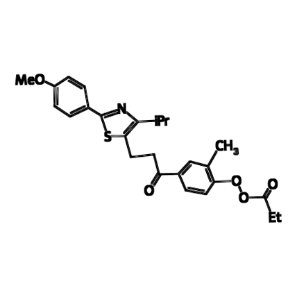 CCC(=O)OOc1ccc(C(=O)CCc2sc(-c3ccc(OC)cc3)nc2C(C)C)cc1C